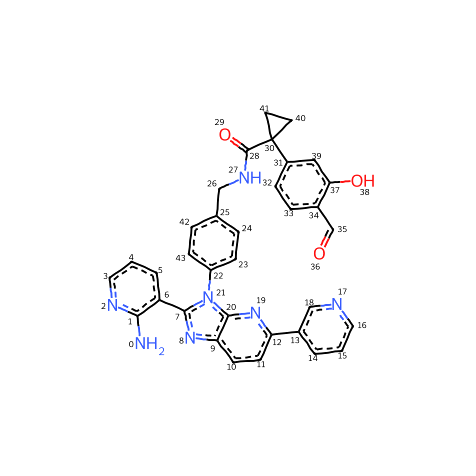 Nc1ncccc1-c1nc2ccc(-c3cccnc3)nc2n1-c1ccc(CNC(=O)C2(c3ccc(C=O)c(O)c3)CC2)cc1